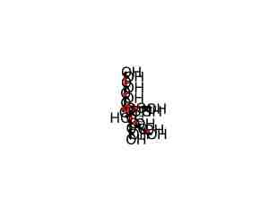 CCC(COCC(O)COCC(O)CO)(COCC(O)COCC(O)COCC(O)CO)COCC(CO)OCC(COCC(O)CO)OCC(O)COCC(O)CO